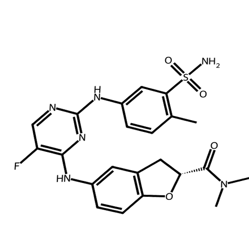 Cc1ccc(Nc2ncc(F)c(Nc3ccc4c(c3)C[C@H](C(=O)N(C)C)O4)n2)cc1S(N)(=O)=O